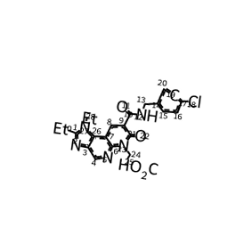 CCc1nc2cnc3c(cc(C(=O)NCc4ccc(Cl)cc4)c(=O)n3CC(=O)O)c2n1CC